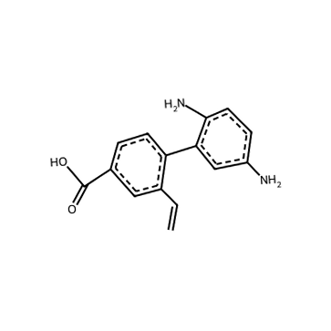 C=Cc1cc(C(=O)O)ccc1-c1cc(N)ccc1N